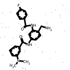 CN(C)c1cccc(C(=O)Nc2ccc(CN)c(NC(=O)c3ccc(F)cc3)c2)c1